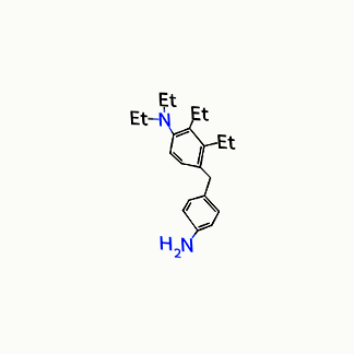 CCc1c(Cc2ccc(N)cc2)ccc(N(CC)CC)c1CC